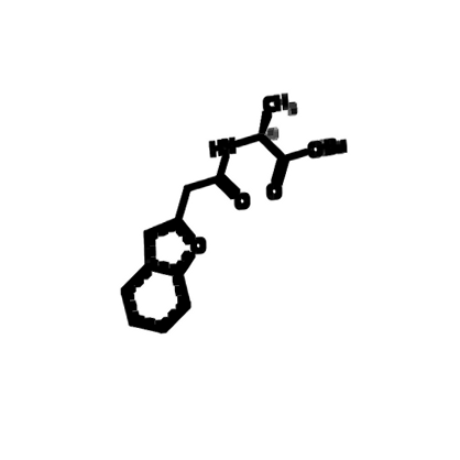 CC(C)COC(=O)[C@H](C)NC(=O)Cc1cc2ccccc2o1